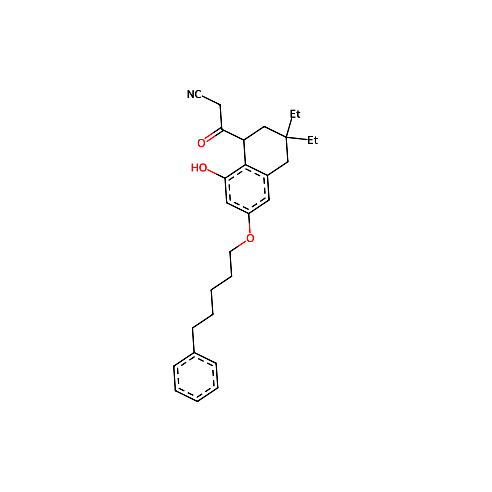 CCC1(CC)Cc2cc(OCCCCCc3ccccc3)cc(O)c2C(C(=O)CC#N)C1